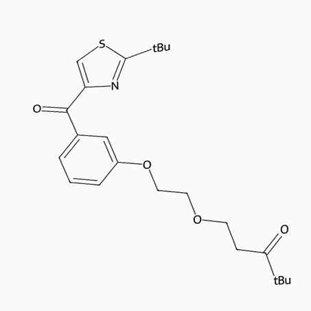 CC(C)(C)C(=O)CCOCCOc1cccc(C(=O)c2csc(C(C)(C)C)n2)c1